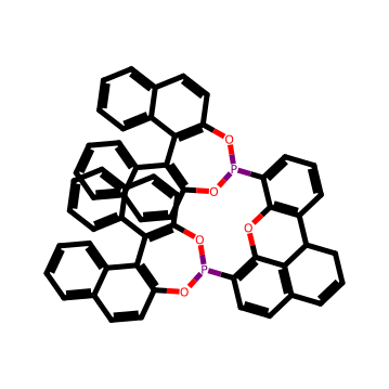 C1=Cc2ccc(-p3oc4ccc5ccccc5c4c4c(ccc5ccccc54)o3)c3c2C(C1)c1cccc(-p2oc4ccc5ccccc5c4c4c(ccc5ccccc54)o2)c1O3